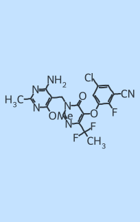 COc1nc(C)nc(N)c1Cn1cnc(C(C)(F)F)c(Oc2cc(Cl)cc(C#N)c2F)c1=O